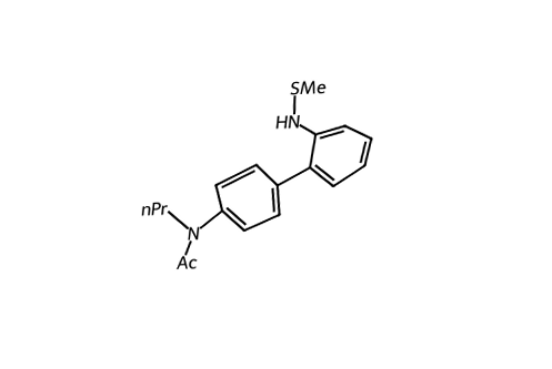 CCCN(C(C)=O)c1ccc(-c2ccccc2NSC)cc1